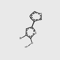 CCCOc1sc(-c2ccsc2)cc1Br